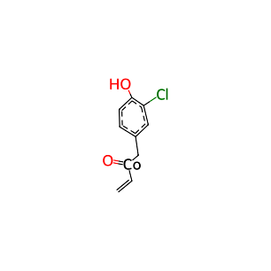 C=[CH][Co](=[O])[CH2]c1ccc(O)c(Cl)c1